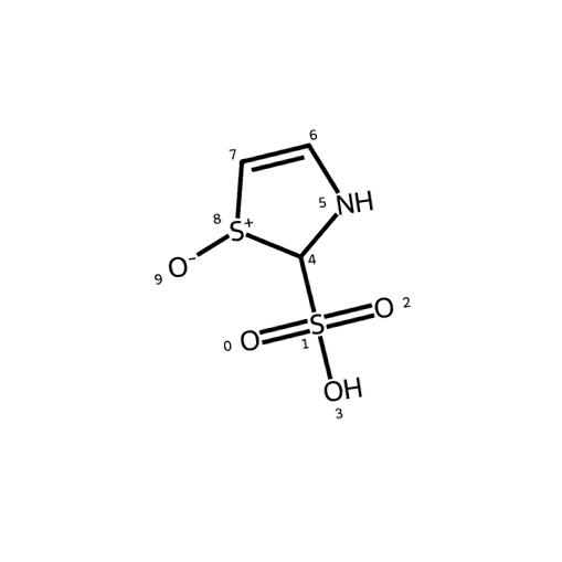 O=S(=O)(O)C1NC=C[S+]1[O-]